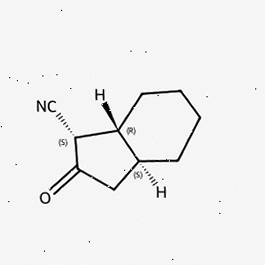 N#C[C@H]1C(=O)C[C@@H]2CCCC[C@H]21